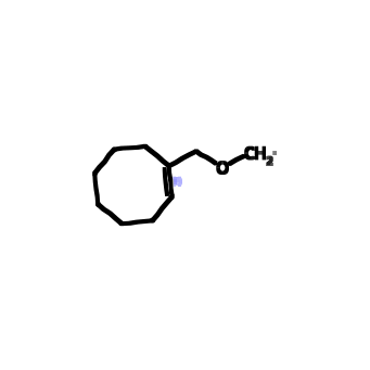 [CH2]OC/C1=C/CCCCCC1